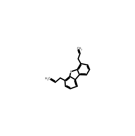 C=CCc1cccc2c1sc1c(CC=C)cccc12